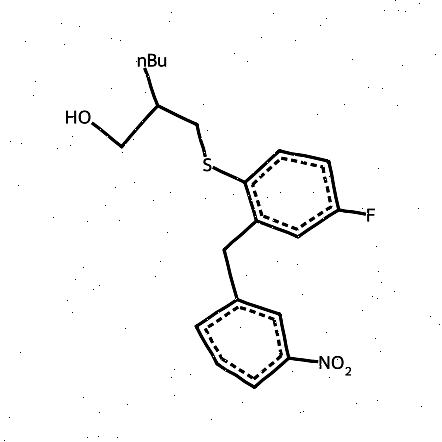 CCCCC(CO)CSc1ccc(F)cc1Cc1cccc([N+](=O)[O-])c1